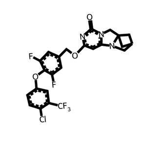 O=c1nc(OCc2cc(F)c(Oc3ccc(Cl)c(C(F)(F)F)c3)c(F)c2)cc2n1CC13CC(CN21)C3